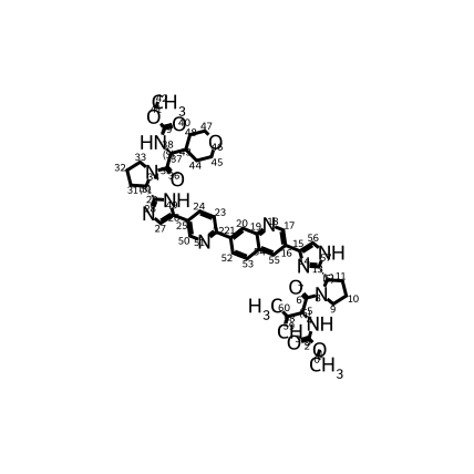 COC(=O)N[C@H](C(=O)N1CCC[C@H]1c1nc(-c2cnc3cc(-c4ccc(-c5cnc([C@@H]6CCCN6C(=O)[C@@H](NC(=O)OC)C6CCOCC6)[nH]5)cn4)ccc3c2)c[nH]1)C(C)C